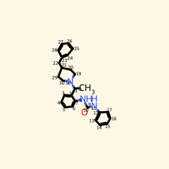 CC(c1ccccc1NC(=O)Nc1ccccc1)N1CCC(Cc2ccccc2)CC1